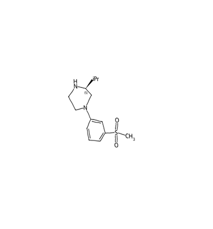 CC(C)[C@H]1CN(c2cccc(S(C)(=O)=O)c2)CCN1